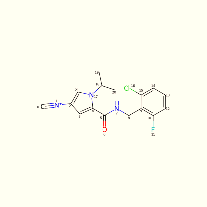 [C-]#[N+]c1cc(C(=O)NCc2c(F)cccc2Cl)n(C(C)C)c1